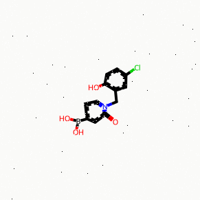 O=c1cc(B(O)O)ccn1Cc1cc(Cl)ccc1O